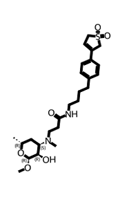 CO[C@@H]1O[C@H](C)C[C@H](N(C)CCC(=O)NCCCCc2ccc(C3=CCS(=O)(=O)C3)cc2)[C@H]1O